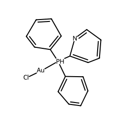 [Cl][Au][PH](c1ccccc1)(c1ccccc1)c1ccccn1